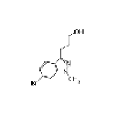 Cn1nc(CCCO)c2ccc(Br)cc21